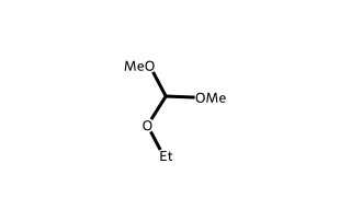 CCOC(OC)OC